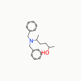 CC(O)CCC(C)N(Cc1ccccc1)Cc1ccccc1